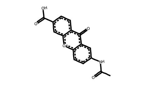 CC(=O)Nc1ccc2oc3cc(C(=O)O)ccc3c(=O)c2c1